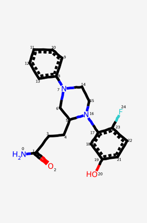 NC(=O)CCC1CN(c2ccccc2)CCN1c1cc(O)ccc1F